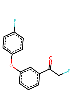 O=C(CF)c1cccc(Oc2ccc(F)cc2)c1